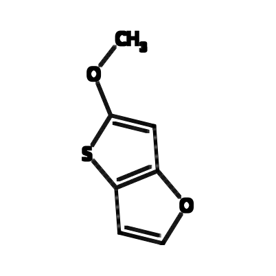 COc1cc2occc2s1